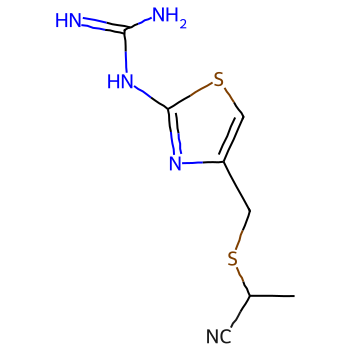 CC(C#N)SCc1csc(NC(=N)N)n1